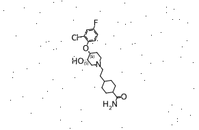 NC(=O)C1CCC(CCN2CC[C@H](Oc3ccc(F)cc3Cl)[C@@H](O)C2)CC1